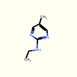 CCNc1ncc(C)cn1